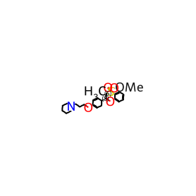 COc1cccc2c1S(=O)(=O)[C@@H](C)[C@H](C1C=CC(OCCCN3CCCCC3)=CC1)O2